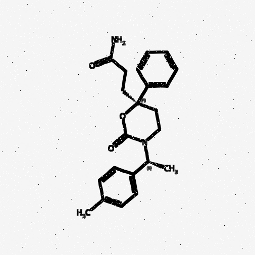 Cc1ccc([C@H](C)N2CC[C@](CCC(N)=O)(c3ccccc3)OC2=O)cc1